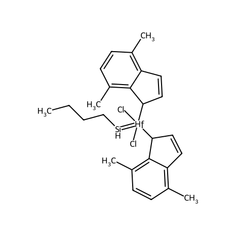 CCCC[SiH]=[Hf]([Cl])([Cl])([CH]1C=Cc2c(C)ccc(C)c21)[CH]1C=Cc2c(C)ccc(C)c21